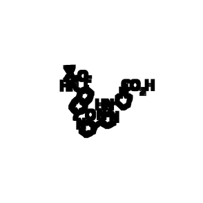 Cc1ccc2c(NC(=O)C3(C)CC3)c(F)ccc2c1Oc1ncccc1-c1ccnc(N[C@H]2CCCN(C(=O)O)C2)n1